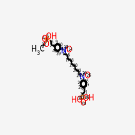 CCOP(=O)(O)CCc1ccc(N(C=O)CCCCCCCCCN(C=O)c2ccc(CCP(=O)(O)O)cc2)cc1